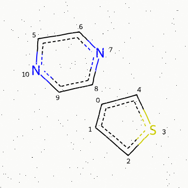 c1ccsc1.c1cnccn1